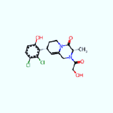 C[C@H]1C(=O)N2CC[C@@H](c3c(O)ccc(Cl)c3Cl)C=C2CN1C(=O)CO